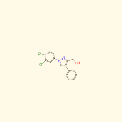 OCc1nn(-c2ccc(Cl)c(Cl)c2)cc1-c1ccccc1